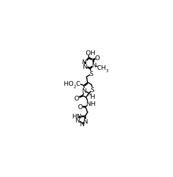 Cn1c(SCC2=C(C(=O)O)N3C(=O)C(NC(=O)Cc4nnn[nH]4)[C@@H]3SC2)nnc(O)c1=O